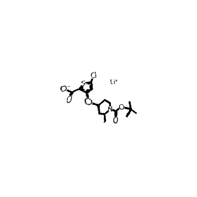 CC1CC(Oc2cc(Cl)sc2C(=O)[O-])CCN1C(=O)OC(C)(C)C.[Li+]